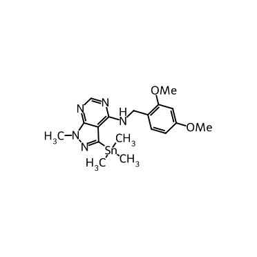 COc1ccc(CNc2ncnc3c2[c]([Sn]([CH3])([CH3])[CH3])nn3C)c(OC)c1